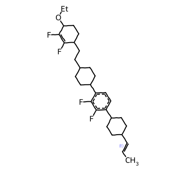 C/C=C/C1CCC(c2ccc(C3CCC(CCC4CCC(OCC)C(F)=C4F)CC3)c(F)c2F)CC1